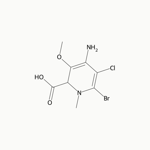 COC1=C(N)C(Cl)=C(Br)N(C)C1C(=O)O